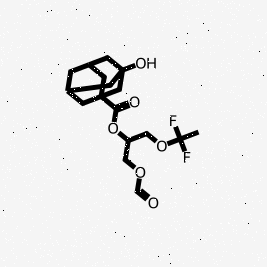 CC(F)(F)OCC(COC=O)OC(=O)C12CC3CC(CC(O)(C3)C1)C2